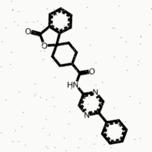 O=C1OC2(CCC(C(=O)Nc3cnc(-c4ccccc4)cn3)CC2)c2ccccc21